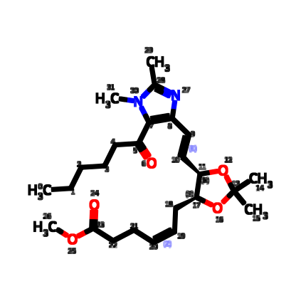 CCCCCC(=O)c1c(/C=C/[C@H]2OC(C)(C)O[C@H]2C/C=C\CCC(=O)OC)nc(C)n1C